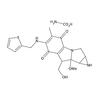 COC12C(CO)C3=C(C(=O)C(C)=C(NCc4cccs4)C3=O)N1CC1NC12.NC(=O)O